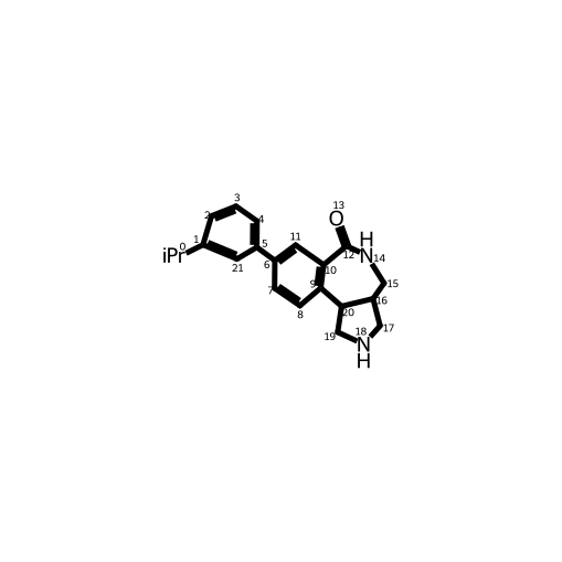 CC(C)c1cccc(-c2ccc3c(c2)C(=O)NCC2CNCC32)c1